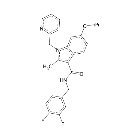 Cc1c(C(=O)NCc2ccc(F)c(F)c2)c2ccc(OC(C)C)cc2n1Cc1ccccn1